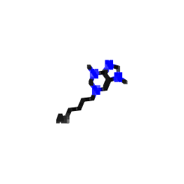 CC(=O)CCCCN1C=C2C(=NCN2C)N(C)C1